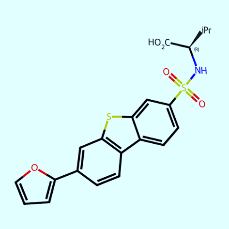 CC(C)[C@@H](NS(=O)(=O)c1ccc2c(c1)sc1cc(-c3ccco3)ccc12)C(=O)O